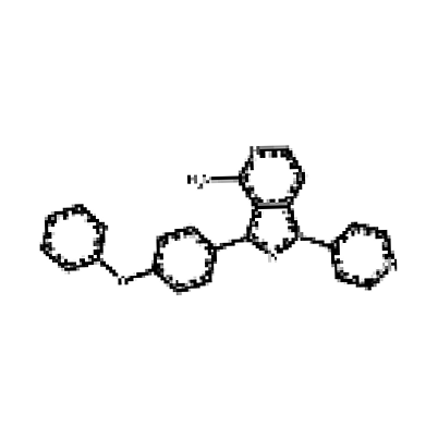 Nc1nccc2c1c(-c1ccc(Oc3ccccc3)cc1)nn2-c1ccncc1